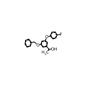 C=C(O)c1cc(OCc2ccccc2)cc(Oc2ccc(F)cc2)c1